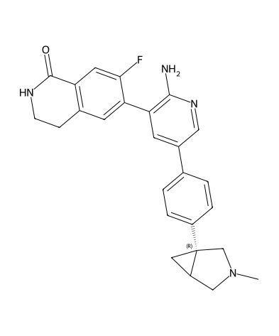 CN1CC2C[C@@]2(c2ccc(-c3cnc(N)c(-c4cc5c(cc4F)C(=O)NCC5)c3)cc2)C1